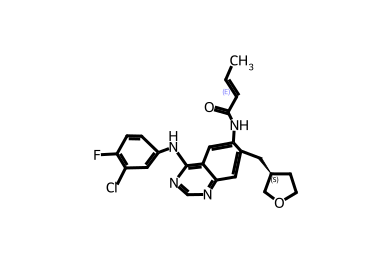 C/C=C/C(=O)Nc1cc2c(Nc3ccc(F)c(Cl)c3)ncnc2cc1C[C@H]1CCOC1